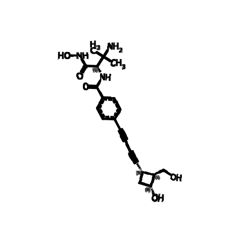 CC(C)(N)[C@H](NC(=O)c1ccc(C#CC#C[C@H]2C[C@@H](O)[C@@H]2CO)cc1)C(=O)NO